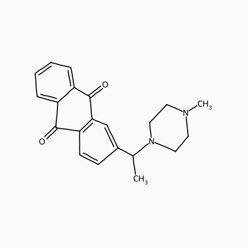 CC(c1ccc2c(c1)C(=O)c1ccccc1C2=O)N1CCN(C)CC1